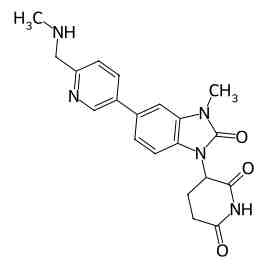 CNCc1ccc(-c2ccc3c(c2)n(C)c(=O)n3C2CCC(=O)NC2=O)cn1